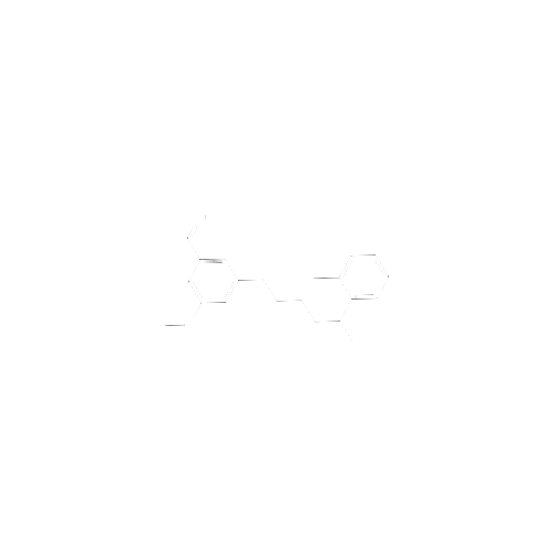 COc1cc(C=O)cc(CCCCC(C)c2ccccc2Cl)c1